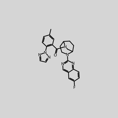 Cc1ccc(-n2nccn2)c(C(=O)N2CC3CCC2CCN3c2ncc3cc(F)ccc3n2)c1